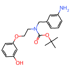 CC(C)(C)OC(=O)N(CCOc1cccc(O)c1)Cc1cccc(N)c1